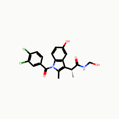 Cc1c([C@@H](C)C(=O)NCO)c2cc(O)ccc2n1C(=O)c1ccc(Cl)c(Cl)c1